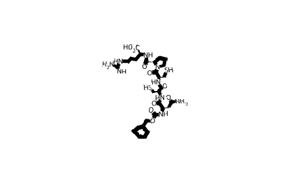 N=C(N)NCCC[C@H](NC(=O)[C@@H]1CCCN1C(=O)[C@H](CS)NC(=O)[C@H](CS)NC(=O)[C@H](CC(N)=O)NC(=O)OCc1ccccc1)C(=O)O